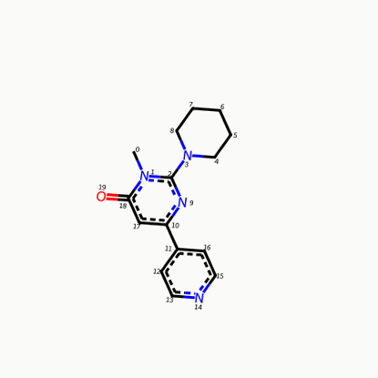 Cn1c(N2CCCCC2)nc(-c2ccncc2)cc1=O